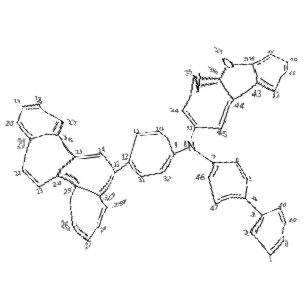 c1ccc(-c2ccc(N(c3ccc(-c4cc5c6ccccc6ccc5c5ccccc45)cc3)c3cnc4oc5ccccc5c4c3)cc2)cc1